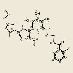 CCC[C@H]1CN[C@H](C(=O)N[C@@H]([C@H]2O[C@H](SCCOC(=O)c3ccccc3C)[C@H](O)[C@@H](O)[C@H]2O)[C@@H](C)OC)C1